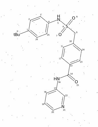 CC(C)(C)c1ccc(NS(=O)(=O)Cc2ccc(C(=O)Nc3cccnc3)cc2)cc1